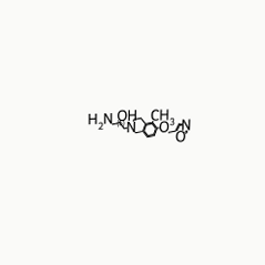 Cc1c(OCc2cnco2)ccc2c1CCN(C[C@@H](O)CN)C2